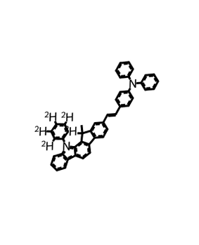 [2H]c1c([2H])c([2H])c(-n2c3ccccc3c3ccc4c(c32)C(C)(C)c2cc(/C=C/c3ccc(N(c5ccccc5)c5ccccc5)cc3)ccc2-4)c([2H])c1[2H]